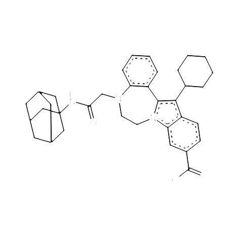 O=C(CN1CCn2c(c(C3CCCCC3)c3ccc(C(=O)O)cc32)-c2ccccc21)NC12CC3CC(CC(C3)C1)C2